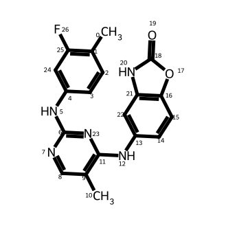 Cc1ccc(Nc2ncc(C)c(Nc3ccc4oc(=O)[nH]c4c3)n2)cc1F